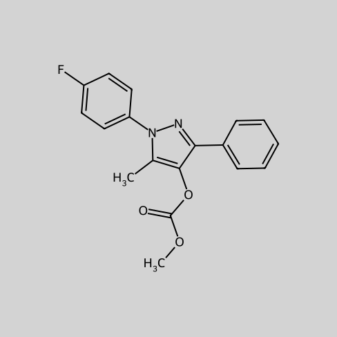 COC(=O)Oc1c(-c2ccccc2)nn(-c2ccc(F)cc2)c1C